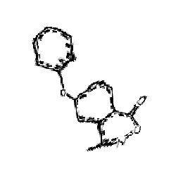 Cc1noc(=O)c2ccc(Oc3ccccc3)cc12